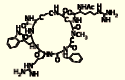 CC(=O)N[C@@H](CCCNC(=N)N)C(=O)N[C@H]1CC(=O)NCCCC[C@@H](C(N)=O)NC(=O)[C@H](Cc2c[nH]c3ccccc23)NC(=O)[C@H](CCCNC(=N)N)NC(=O)[C@@H](Cc2ccccc2)NC(=O)CN(C)C1=O